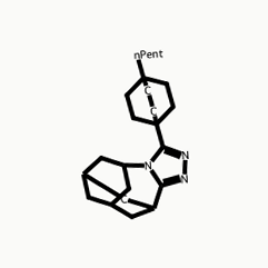 CCCCCC12CCC(c3nnc4n3C3CC5CC(CC4C5)C3)(CC1)CC2